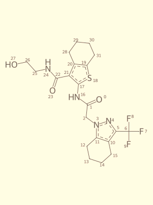 O=C(Cn1nc(C(F)(F)F)c2c1CCCC2)Nc1sc2c(c1C(=O)NCCO)CCCC2